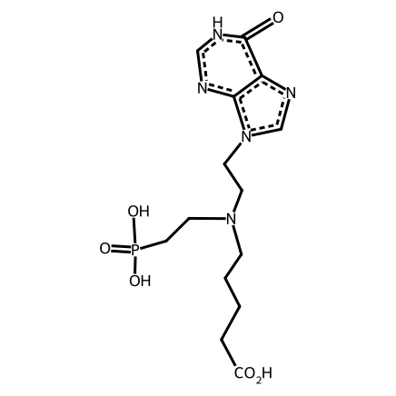 O=C(O)CCCCN(CCn1cnc2c(=O)[nH]cnc21)CCP(=O)(O)O